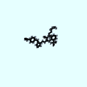 COCCNC(=S)N(CCc1cncn1Cc1ccc(C#N)cc1)Cc1ccccc1C(F)(F)F